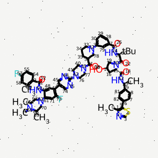 Cc1ncsc1-c1ccc([C@H](C)NC(=O)[C@@H]2C[C@@H](O)CN2C(=O)[C@@H](NC(=O)c2cccc(N3CCCC(C(=O)N4CCN(c5ncc(-c6cc(NC(=O)c7ccc(F)cc7C(F)(F)F)c(N7C[C@@H](C)N(C)[C@@H](C)C7)cc6F)cn5)CC4)C3)c2)C(C)(C)C)cc1